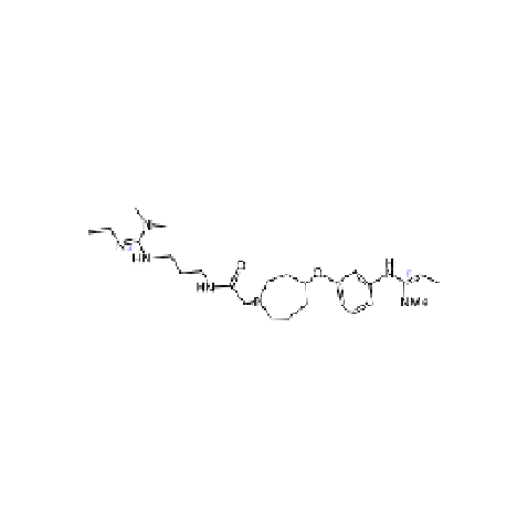 C=C/N=C(/NCCCNC(=O)CN1CCCC(Oc2cccc(N/C(=C/C)NC)c2)CC1)N(C)C